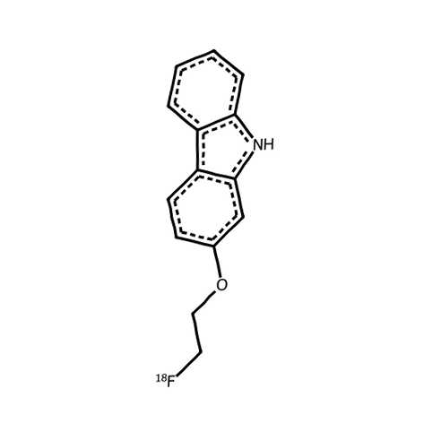 [18F]CCOc1ccc2c(c1)[nH]c1ccccc12